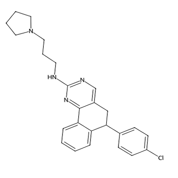 Clc1ccc(C2Cc3cnc(NCCCN4CCCC4)nc3-c3ccccc32)cc1